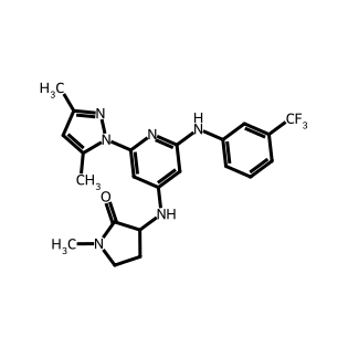 Cc1cc(C)n(-c2cc(NC3CCN(C)C3=O)cc(Nc3cccc(C(F)(F)F)c3)n2)n1